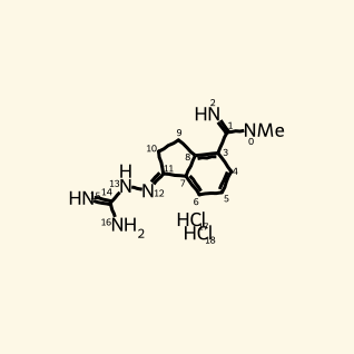 CNC(=N)c1cccc2c1CCC2=NNC(=N)N.Cl.Cl